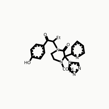 CCC(C(=O)c1ccc(O)cc1)N1CCN(C(=O)O)C(c2ccccn2)(n2cnnc2)C1=O